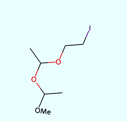 COC(C)OC(C)OCCI